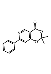 CC1(C)OC(=O)c2cnc(-c3ccccc3)cc2O1